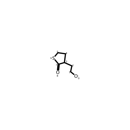 [O]CCC1CCSC1=O